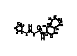 O=C(CNCc1ccsc1)Nc1ccc2cnccc2c1